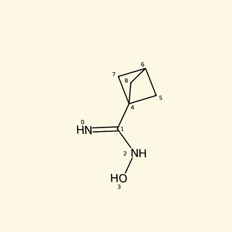 N=C(NO)C12CC(C1)C2